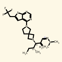 C=C(/C=N\N(C)C)[C@@H]([C@H](C)CC)N1CC2(CCN(c3ncnc4sc(CC(F)(F)F)cc34)C2)C1